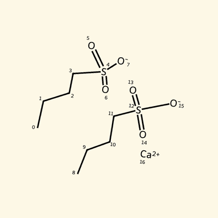 CCCCS(=O)(=O)[O-].CCCCS(=O)(=O)[O-].[Ca+2]